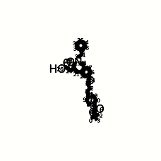 CC(C)(C)OC(=O)N1CCN(CCCOc2ccc3c(c2)C=C(CC(=O)O)C(=O)N(CCc2ccccc2)C3)CC1